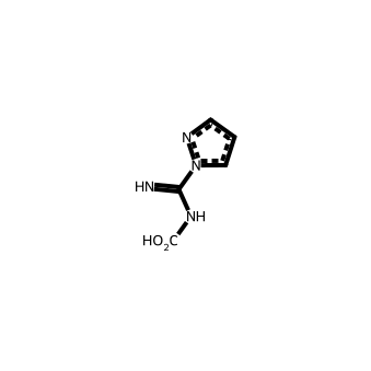 N=C(NC(=O)O)n1cccn1